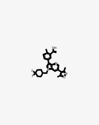 C=C(O)c1cc(-c2cn(CC3CCC(F)(F)CC3)c3cc(-c4c(C)noc4C)cnc23)ccc1C